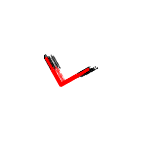 [Fe+3].[Fe+3].[Fe+3].[Fe+3].[Fe+3].[Fe+3].[Fe+3].[Fe+3].[Fe+3].[Fe+3].[Fe+3].[Fe+3].[Fe+3].[Fe+3].[Fe+3].[Fe+3].[Fe+3].[Fe+3].[Fe+3].[Fe+3].[Fe+3].[Fe+3].[Fe+3].[Fe+3].[Fe+3].[Fe+3].[Fe+3].[Fe+3].[Fe+3].[Fe+3].[O-2].[O-2].[O-2].[O-2].[O-2].[O-2].[O-2].[O-2].[O-2].[O-2].[O-2].[O-2].[O-2].[O-2].[O-2].[O-2].[O-2].[O-2].[O-2].[O-2].[O-2].[O-2].[O-2].[O-2].[O-2].[O-2].[O-2].[O-2].[O-2].[O-2].[O-2].[O-2].[O-2].[O-2].[O-2].[O-2].[O-2].[O-2].[O-2].[O-2]